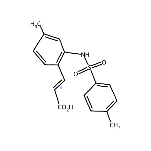 Cc1ccc(S(=O)(=O)Nc2cc(C)ccc2/C=C/C(=O)O)cc1